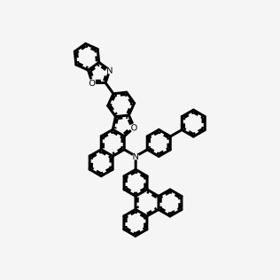 c1ccc(-c2ccc(N(c3ccc4c5ccccc5c5ccccc5c4c3)c3c4ccccc4cc4c3oc3ccc(-c5nc6ccccc6o5)cc34)cc2)cc1